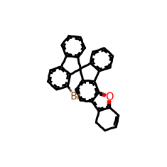 Brc1cccc2c1C1(c3ccccc3-2)c2ccccc2-c2c1ccc1c3c(oc21)C=CCC3